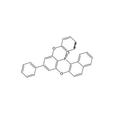 S=P12c3c(cc(-c4ccccc4)cc3Oc3ccc4ccccc4c31)Oc1ccc3ccccc3c12